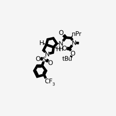 CCC[C@@H](C(=O)N[C@H]1CC[C@@H]2CN(S(=O)(=O)c3cccc(C(F)(F)F)c3)C[C@@H]21)N(C)C(=O)OC(C)(C)C